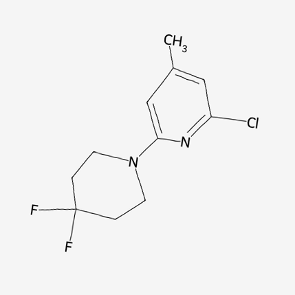 Cc1cc(Cl)nc(N2CCC(F)(F)CC2)c1